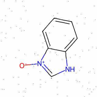 [O-][n+]1[c][nH]c2ccccc21